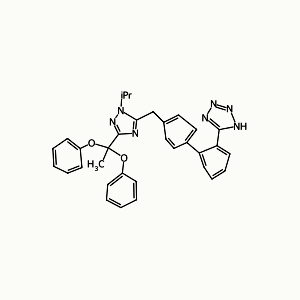 CC(C)n1nc(C(C)(Oc2ccccc2)Oc2ccccc2)nc1Cc1ccc(-c2ccccc2-c2nnn[nH]2)cc1